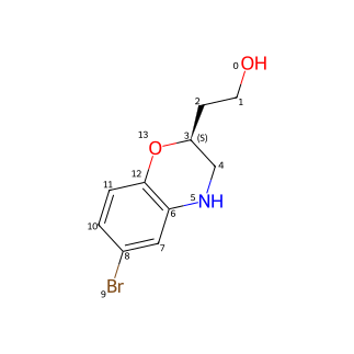 OCC[C@H]1CNc2cc(Br)ccc2O1